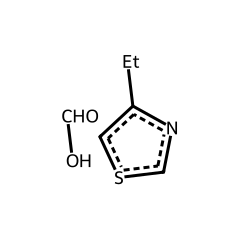 CCc1cscn1.O=CO